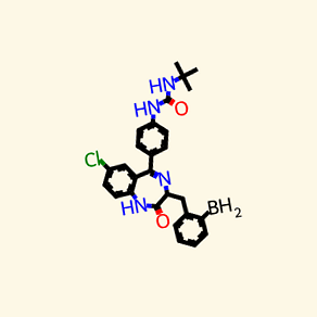 Bc1ccccc1CC1N=C(c2ccc(NC(=O)NC(C)(C)C)cc2)c2cc(Cl)ccc2NC1=O